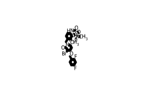 Cc1cc(OCc2ccc(F)cc2F)c(Br)c(=O)n1Cc1ccc(NC(=O)S(=O)(=O)N(C)C)cc1